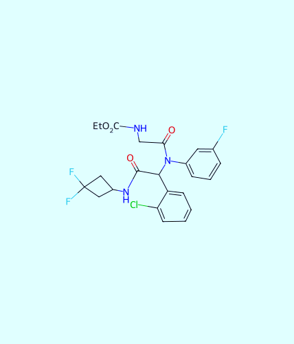 CCOC(=O)NCC(=O)N(c1cccc(F)c1)C(C(=O)NC1CC(F)(F)C1)c1ccccc1Cl